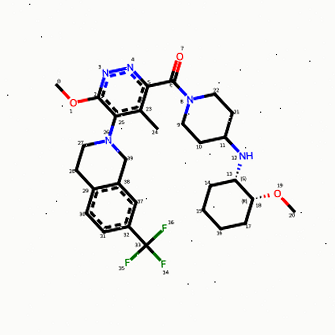 COc1nnc(C(=O)N2CCC(N[C@H]3CCCC[C@H]3OC)CC2)c(C)c1N1CCc2ccc(C(F)(F)F)cc2C1